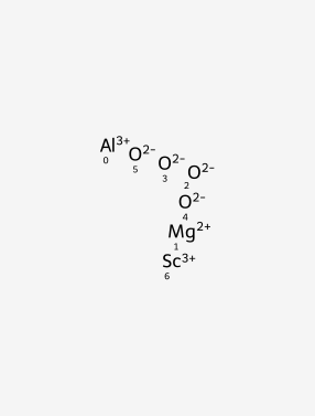 [Al+3].[Mg+2].[O-2].[O-2].[O-2].[O-2].[Sc+3]